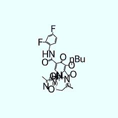 CCCCOc1c2n(cc(C(=O)NCc3ccc(F)cc3F)c1=O)[C@@H]1CN(C2=O)[C@@H](C)CC[C@@]12ON=C(C)[C@@H]2O